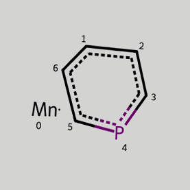 [Mn].c1ccpcc1